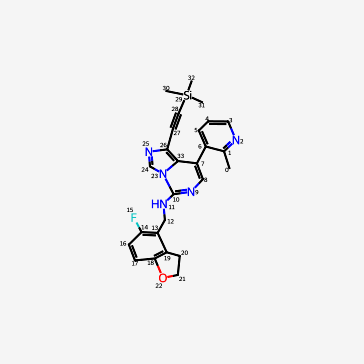 Cc1ncccc1-c1cnc(NCc2c(F)ccc3c2CCO3)n2cnc(C#C[Si](C)(C)C)c12